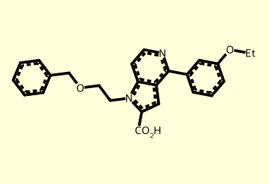 CCOc1cccc(-c2nccc3c2cc(C(=O)O)n3CCOCc2ccccc2)c1